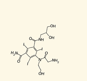 NCC(=O)N(CCO)c1c(I)c(C(N)=O)c(I)c(C(=O)NCC(O)CO)c1I